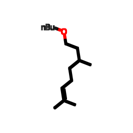 CCCCOCCC(C)CCC=C(C)C